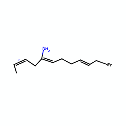 C/C=C\CC(N)=CCCC=CCC(C)C